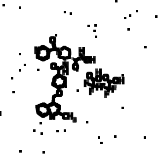 Cc1cc(COc2ccc(C(=O)N[C@@H]3CN(C(=O)c4cccnc4)CC[C@@H]3C(=O)NO)cc2)c2ccccc2n1.O=C(O)C(F)(F)F.O=C(O)C(F)(F)F